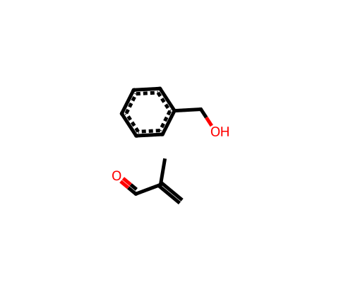 C=C(C)C=O.OCc1ccccc1